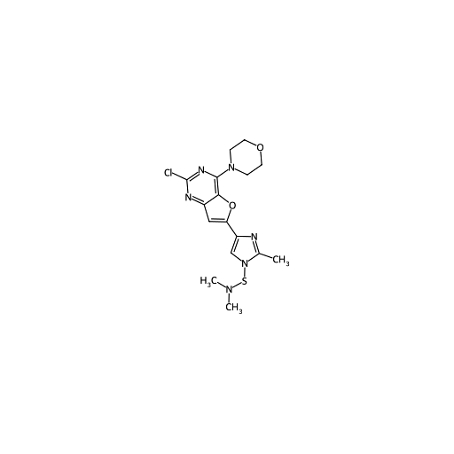 Cc1nc(-c2cc3nc(Cl)nc(N4CCOCC4)c3o2)cn1SN(C)C